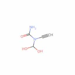 C#CN(C(N)=O)C(O)O